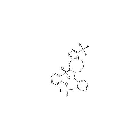 O=S(=O)(c1ccccc1OC(F)(F)F)N1Cc2nnc(C(F)(F)F)n2CCCC1Cc1ccccc1